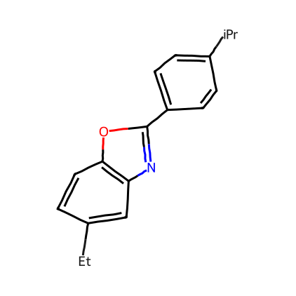 CCc1ccc2oc(-c3ccc(C(C)C)cc3)nc2c1